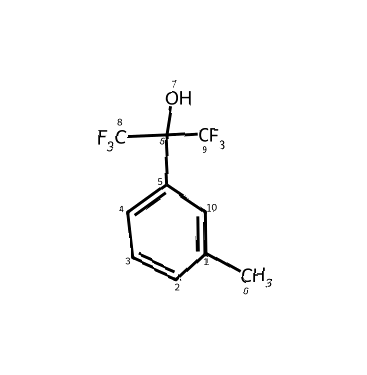 Cc1[c]ccc(C(O)(C(F)(F)F)C(F)(F)F)c1